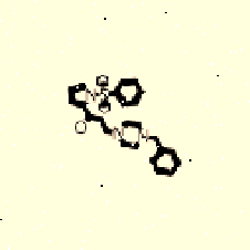 O=C(CCN1CCN(Cc2ccccc2)CC1)c1cccn1S(=O)(=O)c1ccccc1